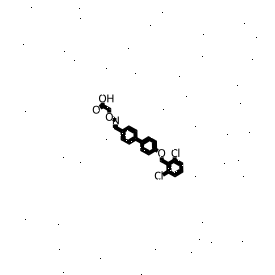 O=C(O)CON=Cc1ccc(-c2ccc(OCc3c(Cl)cccc3Cl)cc2)cc1